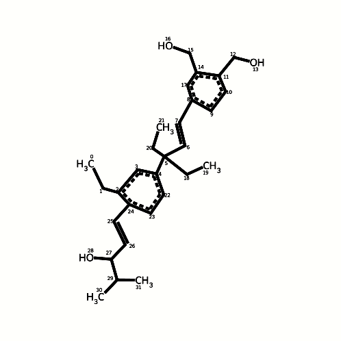 CCc1cc(C(/C=C/c2ccc(CO)c(CO)c2)(CC)CC)ccc1/C=C/C(O)C(C)C